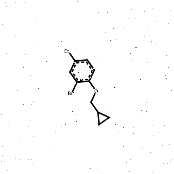 CCc1ccc(OCC2CC2)c(Br)c1